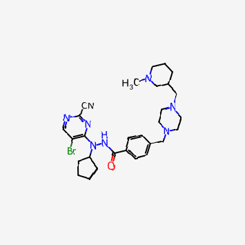 CN1CCCC(CN2CCN(Cc3ccc(C(=O)NN(c4nc(C#N)ncc4Br)C4CCCC4)cc3)CC2)C1